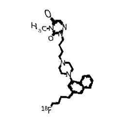 Cn1c(=O)cnn(CCCCN2CCN(c3cc(CCCC[18F])cc4ccccc34)CC2)c1=O